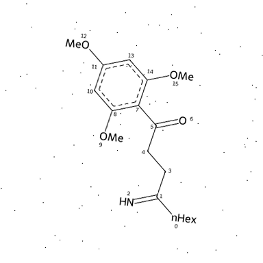 CCCCCCC(=N)CCC(=O)c1c(OC)cc(OC)cc1OC